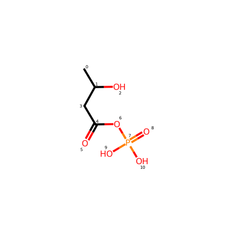 CC(O)CC(=O)OP(=O)(O)O